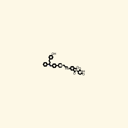 O=C1CCC(N2C(=O)c3ccc(NCCCN4CCC(c5ccc(/C=C(\CCc6ccc(O)cc6)c6ccccc6)cc5)CC4)cc3C2=O)C(=O)N1